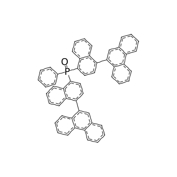 O=P(c1ccccc1)(c1ccc(-c2cc3ccccc3c3ccccc23)c2ccccc12)c1ccc(-c2cc3ccccc3c3ccccc23)c2ccccc12